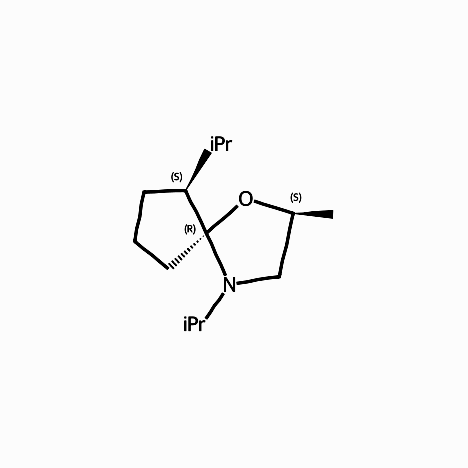 CC(C)[C@@H]1CCC[C@@]12O[C@@H](C)CN2C(C)C